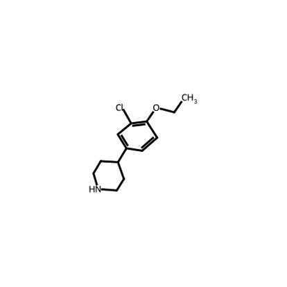 CCOc1ccc(C2CCNCC2)cc1Cl